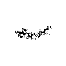 NC(=O)C[C@@H](N)C(=O)NS(=O)(=O)OC[C@@H]1O[C@H](n2cnc3c(N)ncnc32)[C@@H](O)[C@@H]1O